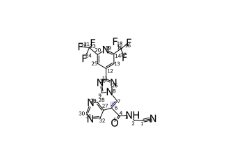 N#CCNC(=O)/C(=C/n1cnc(-c2cc(C(F)(F)F)nc(C(F)(F)F)c2)n1)c1cncnc1